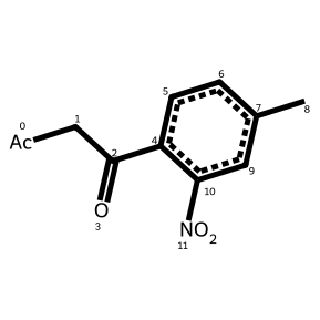 CC(=O)CC(=O)c1ccc(C)cc1[N+](=O)[O-]